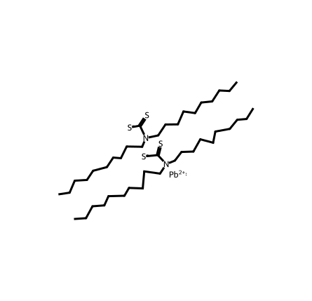 CCCCCCCCCCN(CCCCCCCCCC)C(=S)[S-].CCCCCCCCCCN(CCCCCCCCCC)C(=S)[S-].[Pb+2]